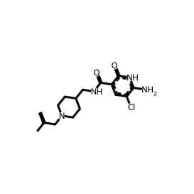 C=C(C)CN1CCC(CNC(=O)c2cc(Cl)c(N)[nH]c2=O)CC1